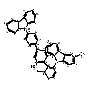 CC1CC=CC(n2c3ccccc3c3cc(C#N)ccc32)=C1c1cc(C#N)c(-c2ccc(N3c4ccccc4C4C=CC=CC43)cc2)cc1C#N